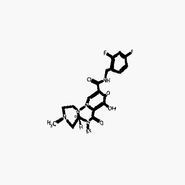 CCN1C(=O)c2c(O)c(=O)c(C(=O)NCc3ccc(F)cc3F)cn2N2CCN(C)C[C@@H]12